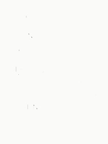 C=C(c1c(C2CC2)cccc1[N+](=O)[O-])C1CCCCN1